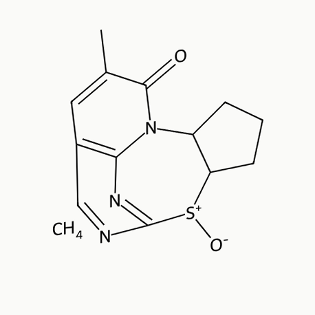 C.Cc1cc2cnc3nc2n(c1=O)C1CCCC1[S+]3[O-]